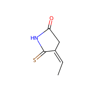 CC=C1CC(=O)NC1=S